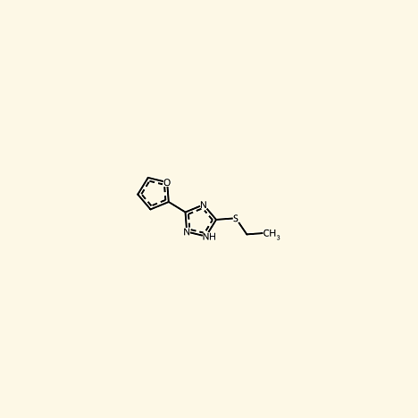 CCSc1nc(-c2ccco2)n[nH]1